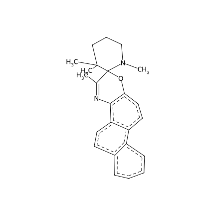 CC1=Nc2c(ccc3c2ccc2ccccc23)OC12N(C)CCCC2(C)C